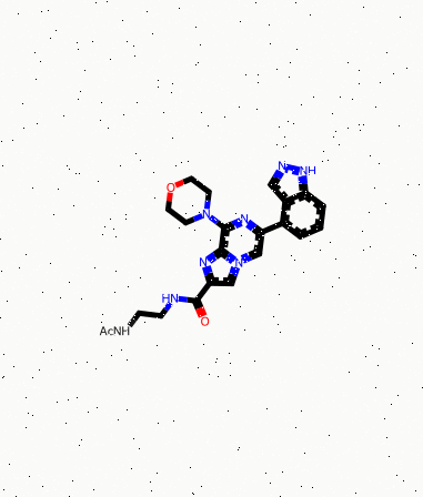 CC(=O)NCCNC(=O)c1cn2cc(-c3cccc4[nH]ncc34)nc(N3CCOCC3)c2n1